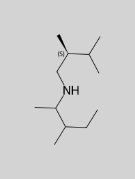 CCC(C)C(C)NC[C@@H](C)C(C)C